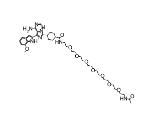 COc1cccc2cc(-c3nc([C@H]4CC[C@H](C(=O)NCCOCCOCCOCCOCCOCCOCCOCCNC(C)=O)CC4)n4ncnc(N)c34)[nH]c12